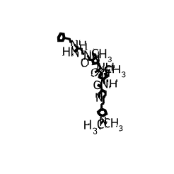 CN(C)c1ccc(/C=C/c2ccc(C(=O)Nc3cc(C(=O)Nc4cc(C(=O)NCCC(=N)NCCc5ccccc5)n(C)c4)n(C)c3)cn2)cc1